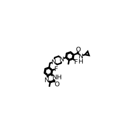 Cc1c(N2CCN(Cc3ccc4nc(C)c(=O)[nH]c4c3F)CC2)ccc(C(=O)NC2CC2)c1F